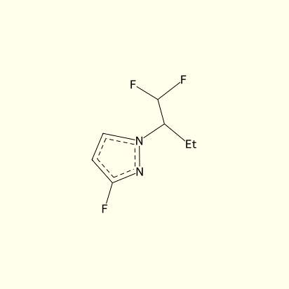 CCC(C(F)F)n1ccc(F)n1